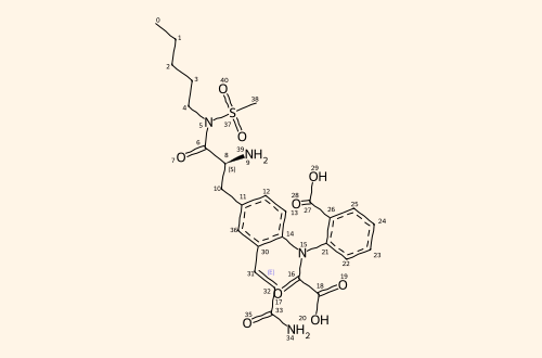 CCCCCN(C(=O)[C@@H](N)Cc1ccc(N(C(=O)C(=O)O)c2ccccc2C(=O)O)c(/C=C/C(N)=O)c1)S(C)(=O)=O